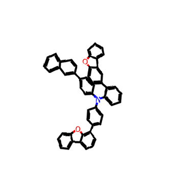 c1ccc(N(c2ccc(-c3ccc4ccccc4c3)cc2)c2ccc(-c3cccc4c3oc3ccccc34)cc2)c(-c2ccc3oc4ccccc4c3c2)c1